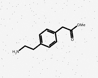 COC(=O)Cc1ccc(CCN)cc1